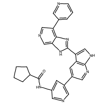 O=C(Nc1cncc(-c2cnc3[nH]cc(-c4nc5c(-c6cccnc6)cncc5[nH]4)c3c2)c1)C1CCCC1